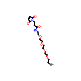 CC(C)CCOCCOCCOCCOCCNC(=O)CCN1C(=O)C=CC1=O